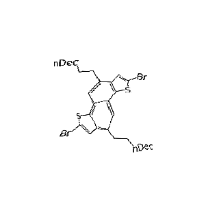 CCCCCCCCCCCCc1cc2c(cc(CCCCCCCCCCCC)c3cc(Br)sc32)c2sc(Br)cc12